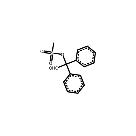 CS(=O)(=O)OC(C=O)(c1ccccc1)c1ccccc1